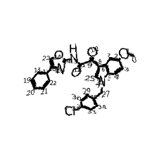 COc1ccc2c(c1)c(C(=O)C(=O)Nc1nc(-c3ccccc3)co1)cn2Cc1ccc(Cl)cc1